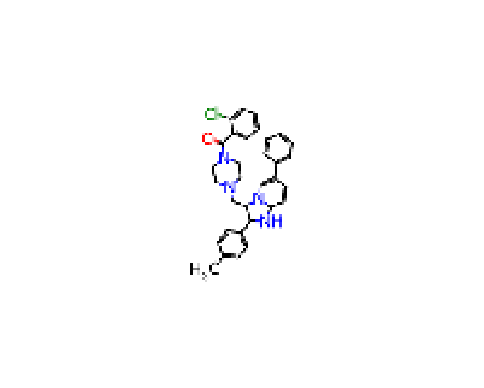 Cc1ccc(C2NC3C=CC(c4ccccc4)=CN3C2CN2CCN(C(=O)c3ccccc3Cl)CC2)cc1